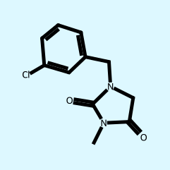 CN1C(=O)CN(Cc2cccc(Cl)c2)C1=O